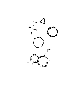 CN(c1ncnc2[nH]ccc12)[C@H]1CC[C@H](CS(=O)(=O)N[C@H]2C[C@@H]2c2ccccc2)CC1